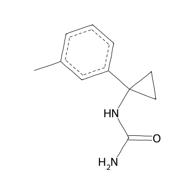 Cc1cccc(C2(NC(N)=O)CC2)c1